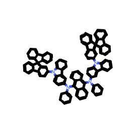 C1=CCCC(N(c2ccc3c(c2)c2ccccc2n3-c2ccc3c(c2)C2(c4ccccc4-c4ccccc42)c2ccccc2-3)c2c3ccccc3c(N(c3ccccc3)c3ccc4c(c3)c3ccccc3n4-c3ccc4c(c3)C3(c5ccccc5-c5ccccc53)c3ccccc3-4)c3ccccc23)=C1